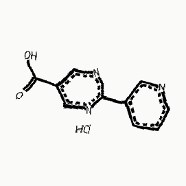 Cl.O=C(O)c1cnc(-c2cccnc2)nc1